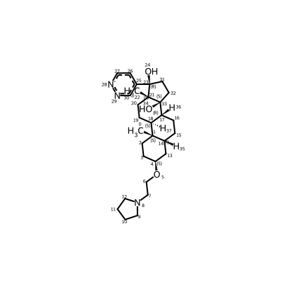 C[C@]12CC[C@H](OCCN3CCCC3)C[C@H]1CC[C@@H]1[C@@H]2CC[C@]2(C)[C@](O)(c3ccnnc3)CC[C@]12O